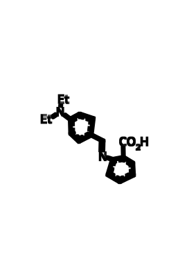 CCN(CC)c1ccc(/C=N/c2ccccc2C(=O)O)cc1